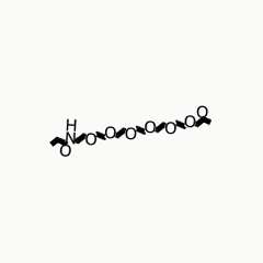 CCC(=O)NCCOCCOCCOCCOCCOCCOCC(C)=O